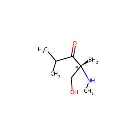 B[C@](CO)(NC)C(=O)C(C)C